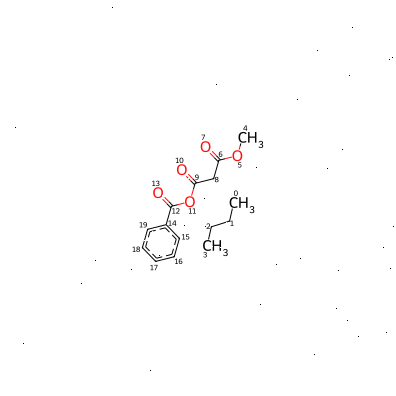 CCCC.COC(=O)CC(=O)OC(=O)c1ccccc1